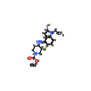 CC(C)(C)OC(=O)N1CCC(Nc2cccc3c2cc(I)n3CC(F)(F)F)C(F)C1